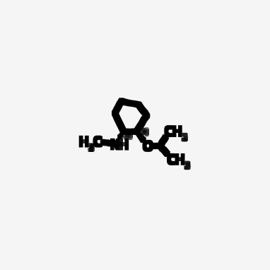 CN[C@@H]1CCCC[C@H]1OC(C)C